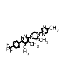 Cc1cnc(N2CCN(c3nnc(-c4ccc(C(F)(F)F)cc4)c(C)c3C)C[C@H]2C)cn1